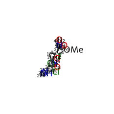 COC(=O)c1cc(F)c(-c2cccc3c2OCN(C(=O)c2c(Cl)cc(N4CC5CC(C4)N5)cc2Cl)C3)cc1N1C2CCC1COC2